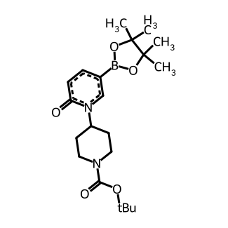 CC(C)(C)OC(=O)N1CCC(n2cc(B3OC(C)(C)C(C)(C)O3)ccc2=O)CC1